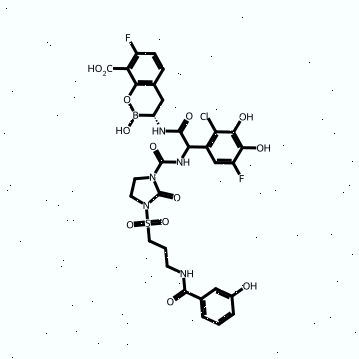 O=C(NCCCS(=O)(=O)N1CCN(C(=O)NC(C(=O)N[C@H]2Cc3ccc(F)c(C(=O)O)c3OB2O)c2cc(F)c(O)c(O)c2Cl)C1=O)c1cccc(O)c1